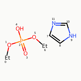 CCOP(=O)(O)OCC.c1c[nH]cn1